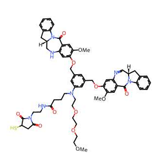 COCCOCCOCCN(CCCC(=O)NCCN1C(=O)CC(S)C1=O)c1cc(COc2cc3c(cc2OC)C(=O)N2c4ccccc4C[C@H]2C=N3)cc(COc2cc3c(cc2OC)C(=O)N2c4ccccc4C[C@H]2CN3)c1